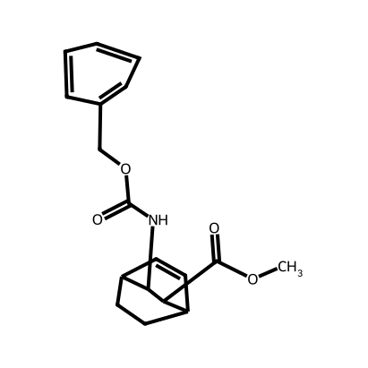 COC(=O)C1C2C=CC(CC2)C1NC(=O)OCc1ccccc1